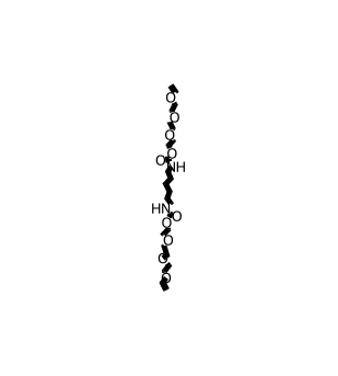 C=COCCOCCOCCOC(=O)NCCCCCCNC(=O)OCCOCCOCCOC=C